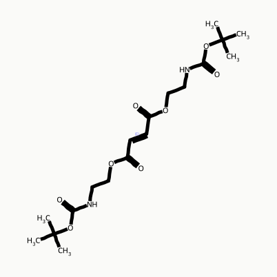 CC(C)(C)OC(=O)NCCOC(=O)/C=C/C(=O)OCCNC(=O)OC(C)(C)C